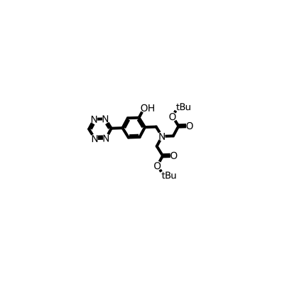 CC(C)(C)OC(=O)CN(CC(=O)OC(C)(C)C)Cc1ccc(-c2nncnn2)cc1O